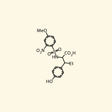 CCC(c1ccc(O)cc1)C(NS(=O)(=O)c1ccc(OC)cc1[N+](=O)[O-])C(=O)O